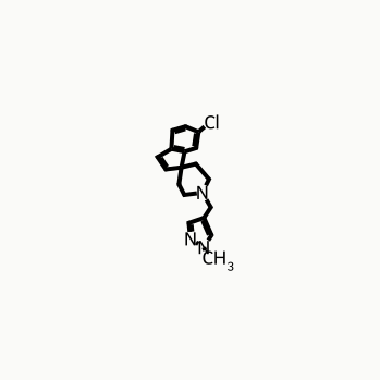 Cn1cc(CN2CCC3(C=Cc4ccc(Cl)cc43)CC2)cn1